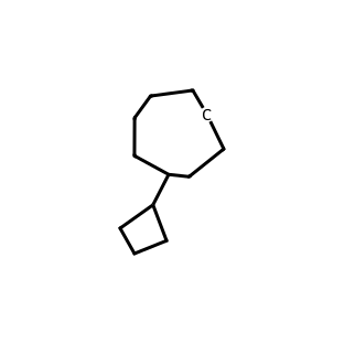 C1CCCC(C2CCC2)CCC1